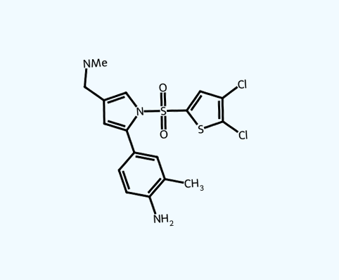 CNCc1cc(-c2ccc(N)c(C)c2)n(S(=O)(=O)c2cc(Cl)c(Cl)s2)c1